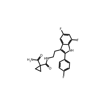 NC(=O)C1(C(=O)NCCc2c(-c3ccc(F)cc3)[nH]c3c(F)cc(F)cc23)CC1